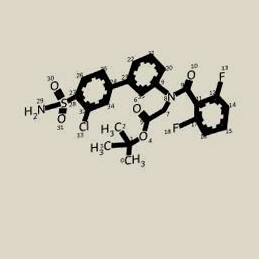 CC(C)(C)OC(=O)CN(C(=O)c1c(F)cccc1F)c1cccc(-c2ccc(S(N)(=O)=O)c(Cl)c2)c1